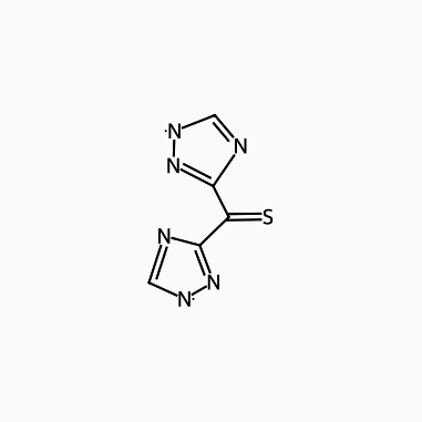 S=C(C1=N[N]C=N1)C1=N[N]C=N1